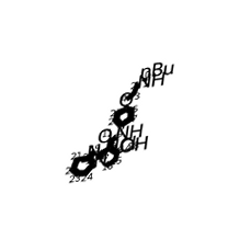 CCCCNCCOc1ccc(NC(=O)C2=C(O)CCn3c2nc2ccccc23)cc1.Cl